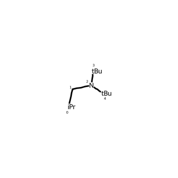 CC(C)CN(C(C)(C)C)C(C)(C)C